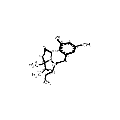 CCCN(Cc1cc(C)cc(F)c1)N1CCCC1(C)C(C)C